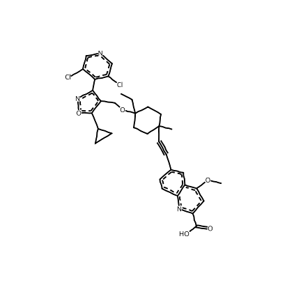 CCC1(OCc2c(-c3c(Cl)cncc3Cl)noc2C2CC2)CCC(C)(C#Cc2ccc3nc(C(=O)O)cc(OC)c3c2)CC1